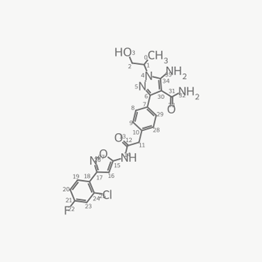 CC(CO)n1nc(-c2ccc(CC(=O)Nc3cc(-c4ccc(F)cc4Cl)no3)cc2)c(C(N)=O)c1N